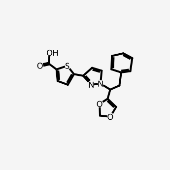 O=C(O)c1ccc(-c2ccn(C(Cc3ccccc3)C3=COCO3)n2)s1